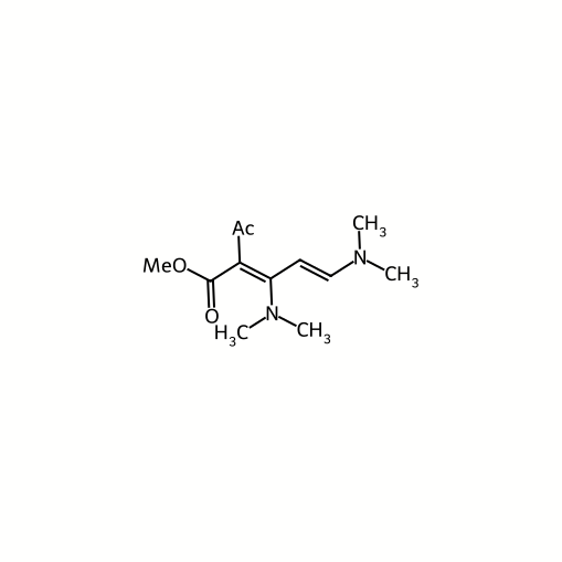 COC(=O)/C(C(C)=O)=C(/C=C/N(C)C)N(C)C